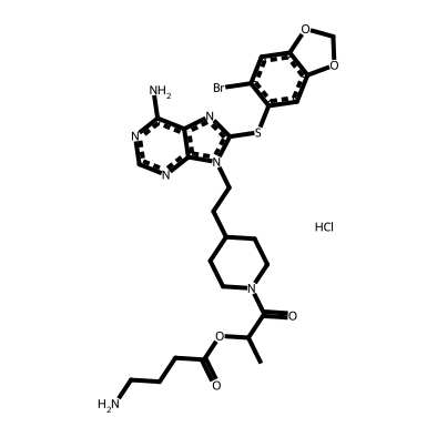 CC(OC(=O)CCCN)C(=O)N1CCC(CCn2c(Sc3cc4c(cc3Br)OCO4)nc3c(N)ncnc32)CC1.Cl